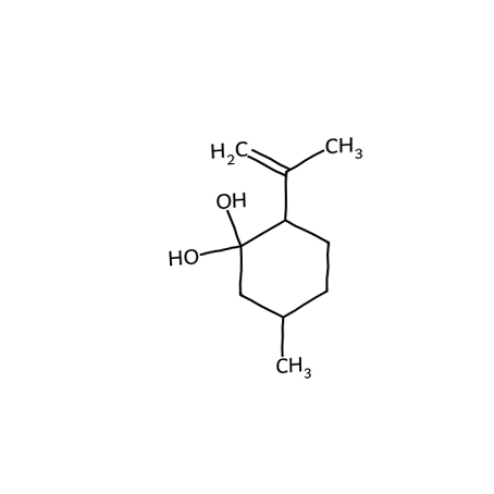 C=C(C)C1CCC(C)CC1(O)O